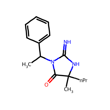 CCCC1(C)NC(=N)N(C(C)c2ccccc2)C1=O